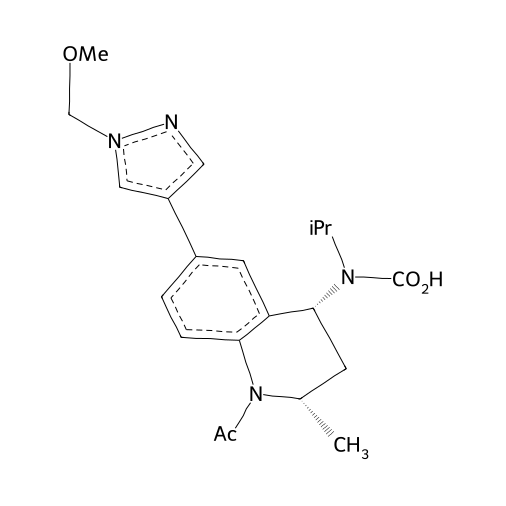 COCn1cc(-c2ccc3c(c2)[C@H](N(C(=O)O)C(C)C)C[C@H](C)N3C(C)=O)cn1